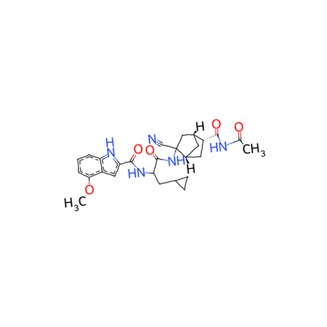 COc1cccc2[nH]c(C(=O)NC(CC3CC3)C(=O)NC3(C#N)C[C@H]4C[C@@H]3C[C@H]4C(=O)NC(C)=O)cc12